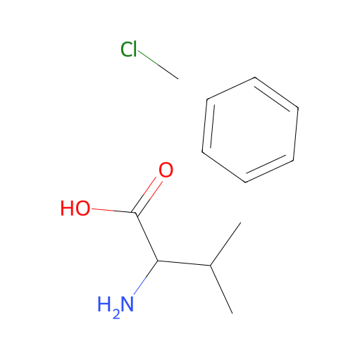 CC(C)C(N)C(=O)O.CCl.c1ccccc1